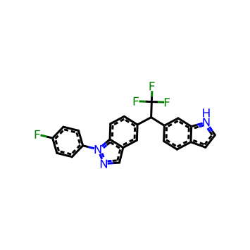 Fc1ccc(-n2ncc3cc(C(c4ccc5cc[nH]c5c4)C(F)(F)F)ccc32)cc1